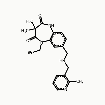 Cc1ncccc1CNCc1ccc2c(c1)N(CC(C)C)C(=O)C(C)(C)C(=O)N2